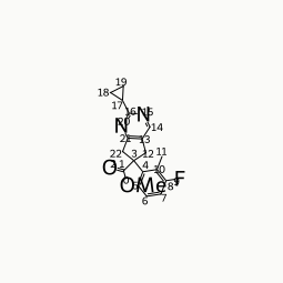 COC(=O)C1(c2cccc(F)c2C)Cc2cnc(C3CC3)nc2C1